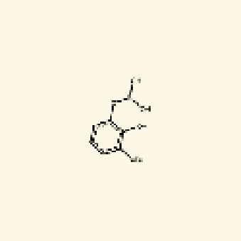 CCCCc1cccc(OB(O)O)c1O